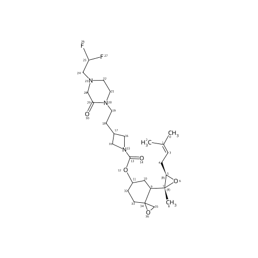 CC(C)=CC[C@H]1O[C@]1(C)C1CC(OC(=O)N2CC(CCN3CCN(CC(F)F)CC3=O)C2)CCC12CO2